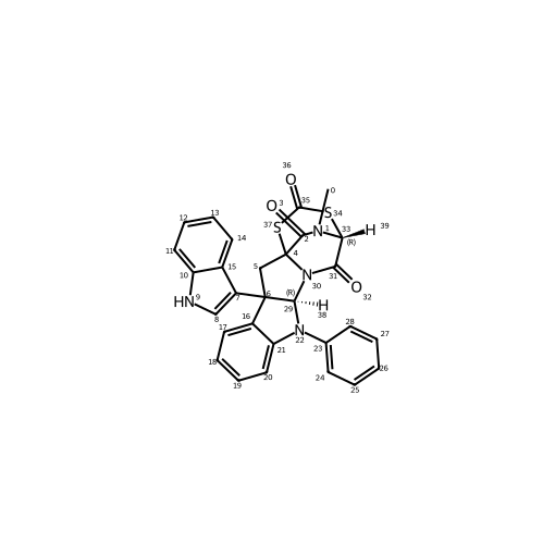 CN1C(=O)C23CC4(c5c[nH]c6ccccc56)c5ccccc5N(c5ccccc5)[C@@H]4N2C(=O)[C@H]1SC(=O)S3